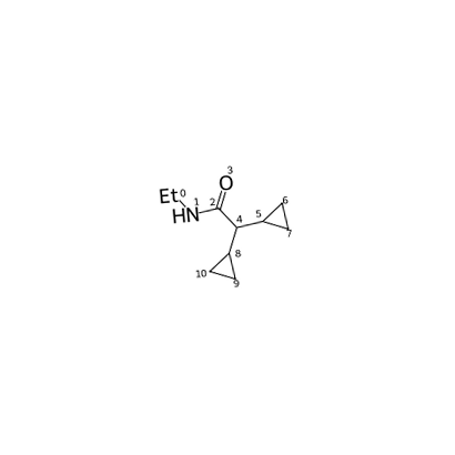 CCNC(=O)C(C1CC1)C1CC1